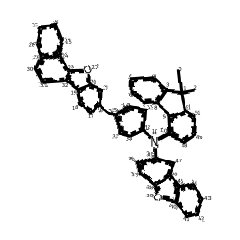 CC1(C)c2ccccc2-c2c(N(c3ccc(-c4ccc5c(c4)oc4c6ccccc6ccc54)cc3)c3ccc4oc5ccccc5c4c3)cccc21